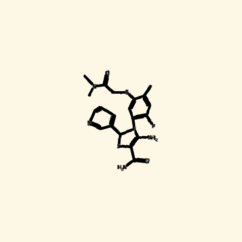 Cc1cc(F)c(N2C(N)=C(C(N)=O)SC2c2cccnc2)cc1SCC(=O)N(C)C